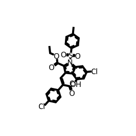 CCOC(=O)c1c(C=C(C(=O)O)c2ccc(Cl)cc2)c2c(Cl)cc(Cl)cc2n1S(=O)(=O)c1ccc(C)cc1